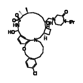 CC(C)N1CCN(C[C@]2(O)CCC[C@H](C)[C@@H](C)S(=O)(=O)NC(O)c3ccc4c(c3)N(CCCCc3cc(Cl)ccc3CO4)C[C@@H]3CC[C@H]32)CC1=O